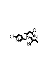 Cc1nn2c(=O)cc(C)n(Cc3ccc(Cl)nc3)c2c1Br